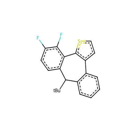 CC(C)(C)C1c2ccccc2-c2ccsc2-c2c1ccc(F)c2F